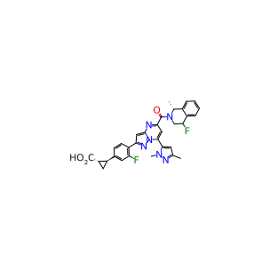 Cc1cc(-c2cc(C(=O)N3C[C@H](F)c4ccccc4[C@H]3C)nc3cc(-c4ccc([C@H]5C[C@@H]5C(=O)O)cc4F)nn23)n(C)n1